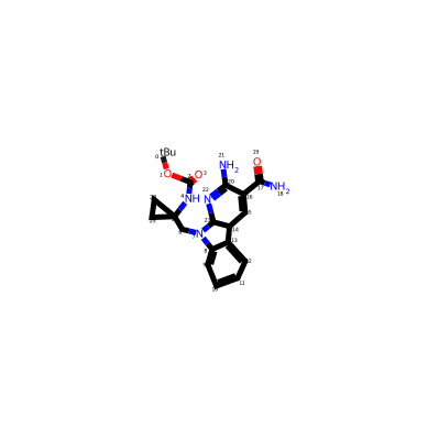 CC(C)(C)OC(=O)NC1(CN2c3ccccc3C3C=C(C(N)=O)C(N)=NC32)CC1